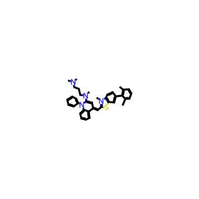 Cc1cccc(C)c1-c1ccc2c(c1)sc(C=C1C=C(N(C)CCCN(C)C)N(c3ccccc3)c3ccccc31)[n+]2C